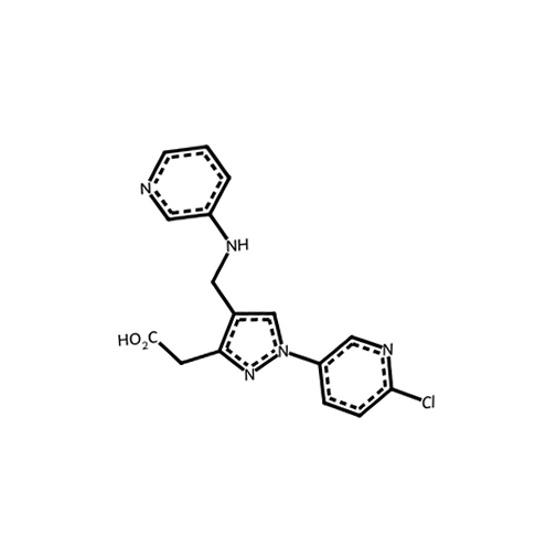 O=C(O)Cc1nn(-c2ccc(Cl)nc2)cc1CNc1cccnc1